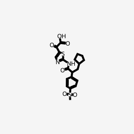 CS(=O)(=O)c1ccc(C(CC2CCCC2)C(=O)Nc2ncc(C(=O)C(=O)O)s2)cc1